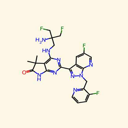 CC1(C)C(=O)Nc2nc(-c3nn(Cc4ncccc4F)c4ncc(F)cc34)nc(NCC(N)(CF)CF)c21